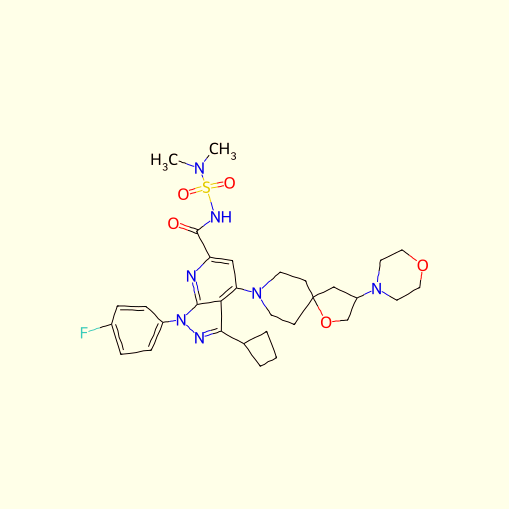 CN(C)S(=O)(=O)NC(=O)c1cc(N2CCC3(CC2)CC(N2CCOCC2)CO3)c2c(C3CCC3)nn(-c3ccc(F)cc3)c2n1